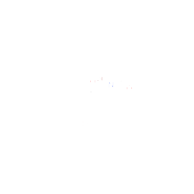 CCC(=O)N(Br)c1cccc2c1C(=O)c1ccccc1C2=O